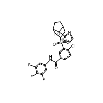 O=C(Nc1cc(F)c(F)c(F)c1)c1ccc(Cl)c(S(=O)(=O)C2CC3CCC(C2)C3(O)c2ncc[nH]2)c1